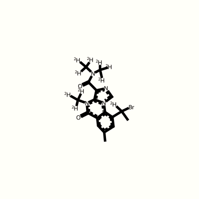 [2H]C(C)(Br)c1cc(C)cc2c(=O)n(C([2H])([2H])[2H])c3c(C(=O)N(C([2H])([2H])[2H])C([2H])([2H])[2H])ncn3c12